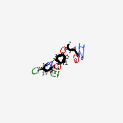 CNC(=O)C=CC(C)Oc1ccc(Oc2ncc(Cl)cc2Cl)cc1